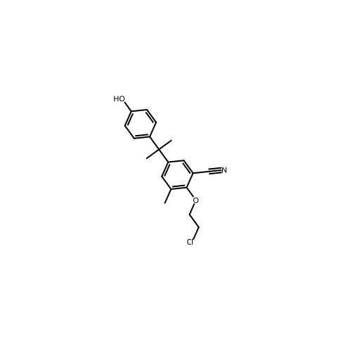 Cc1cc(C(C)(C)c2ccc(O)cc2)cc(C#N)c1OCCCl